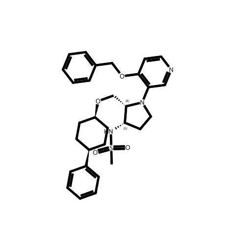 CS(=O)(=O)N[C@H]1CCN(c2cnccc2OCc2ccccc2)[C@H]1CO[C@H]1CC[C@@H](c2ccccc2)CC1